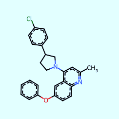 Cc1cc(N2CCC(c3ccc(Cl)cc3)C2)c2cc(Oc3ccccc3)ccc2n1